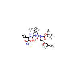 CC(C)=CC(=O)CC[C@H](NC(=O)OC(C)(C)C)C(=O)N1CC2C(C1C(=O)NC(C1CCC1)C(O)C(N)=O)C2(C)C